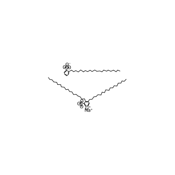 CCCCCCCCCCCCCCCCCCCCCCc1ccccc1S(=O)(=O)[O-].CCCCCCCCCCCCCCCCCCCc1cccc(S(=O)(=O)[O-])c1CCCCCCCCCCCCCCCCCCC.[Li+].[Na+]